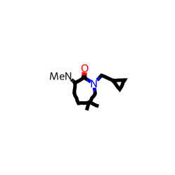 CNC1CCC(C)(C)CN(CC2CC2)C1=O